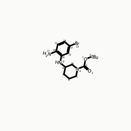 CC(C)(C)OC(=O)N1CCCC(Nc2cc(Br)ccc2N)C1